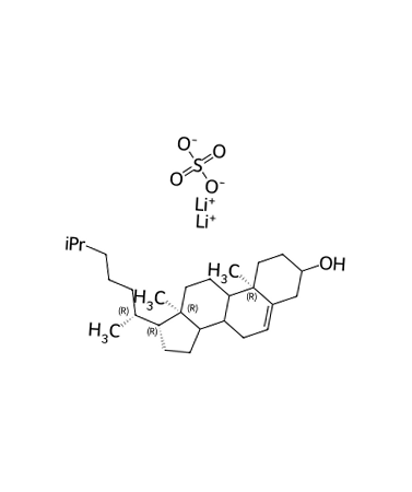 CC(C)CCC[C@@H](C)[C@H]1CCC2C3CC=C4CC(O)CC[C@]4(C)C3CC[C@@]21C.O=S(=O)([O-])[O-].[Li+].[Li+]